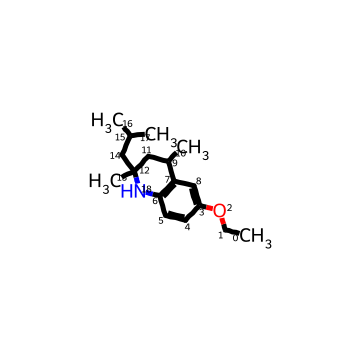 CCOc1ccc2c(c1)C(C)CC(C)(CC(C)C)N2